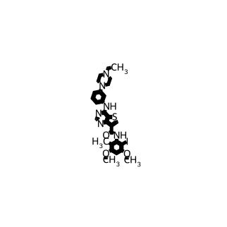 CCN1CCN(c2cccc(Nc3ncnc4c(C(=O)Nc5c(C)c(OC)cc(OC)c5I)csc34)c2)CC1